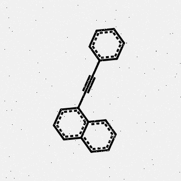 C(#Cc1cccc2ccccc12)c1c[c]ccc1